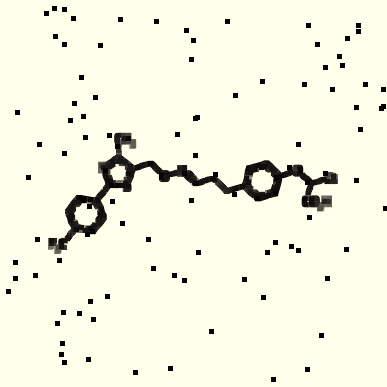 CCC(Oc1ccc(CCC=NOCc2sc(-c3ccc(C(F)(F)F)cc3)nc2C)cc1)C(=O)O